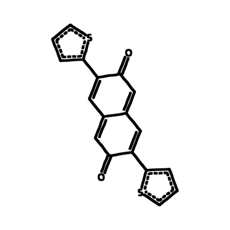 O=C1C=C2C=C(c3cccs3)C(=O)C=C2C=C1c1cccs1